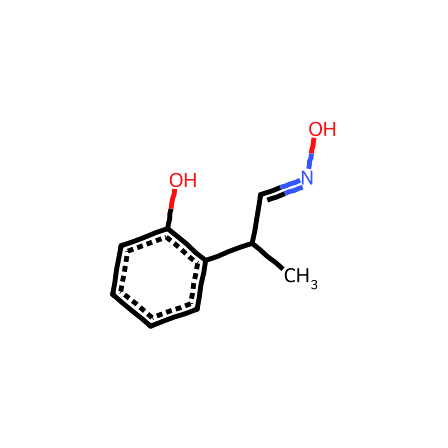 CC(C=NO)c1ccccc1O